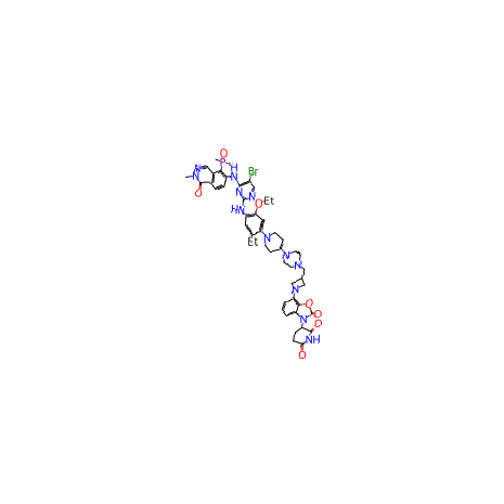 CCOc1cc(N2CCC(N3CCN(CC4CN(c5cccc6c5oc(=O)n6C5CCC(=O)NC5=O)C4)CC3)CC2)c(CC)cc1Nc1ncc(Br)c(Nc2ccc3c(=O)n(C)ncc3c2P(C)(C)=O)n1